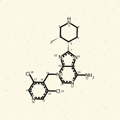 C[C@@H]1CNCC[C@@H]1c1nc2c(N)ncn(Cc3c(Cl)cncc3Cl)c-2n1